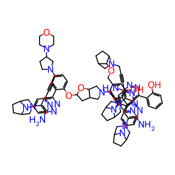 Nc1nnc(-c2ccccc2O)cc1N1CC2CCC(C1)N2c1ccnc(C#CCN2CC3CCC2C3OCc2ccc(-c3cc(N4CC5CCC(C4)N5c4ccnc(C#CCN5CC6CC(Oc7ccccc7-c7cc(N8CC9CCC(C8)N9c8ccnc(C#CCN9CCC(N%10CCOCC%10)C9)c8)c(N)nn7)OC6C5)c4)c(N)nn3)c(O)c2)c1